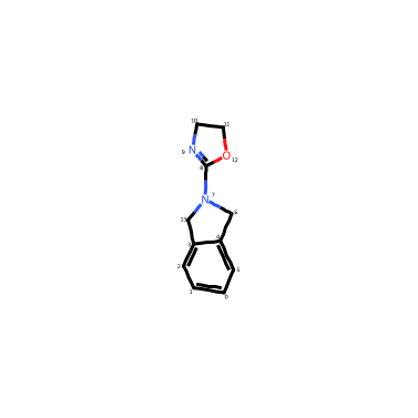 c1ccc2c(c1)CN(C1=NCCO1)C2